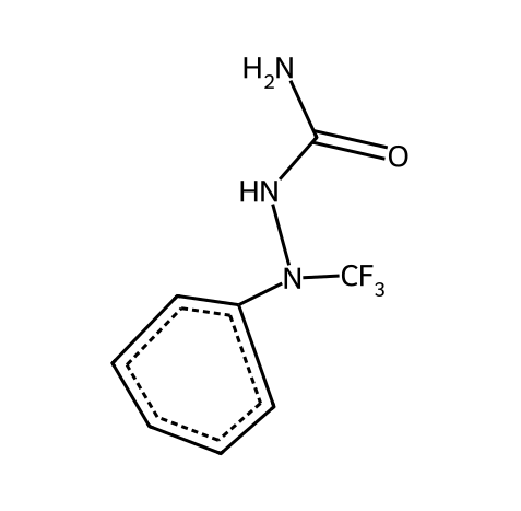 NC(=O)NN(c1ccccc1)C(F)(F)F